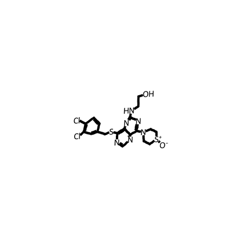 [O-][S+]1CCN(c2nc(NCCO)nc3c(SCc4ccc(Cl)c(Cl)c4)ncnc23)CC1